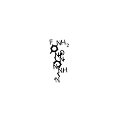 Cc1cc(F)c(N)cc1N1Cc2cnc(NCCN(C)C)cc2N(C)C1=O